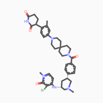 Cc1cc(N2CCC3(CCN(C(=O)c4ccc([C@H]5C[C@@H](Nc6ccn(C)c(=O)c6Br)CN(C)C5)cc4)CC3)CC2)ccc1C1CCC(=O)NC1=O